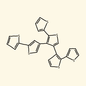 [c]1sc(-c2cccs2)c(-c2csc(-c3cccs3)c2)c1-c1ccsc1-c1cccs1